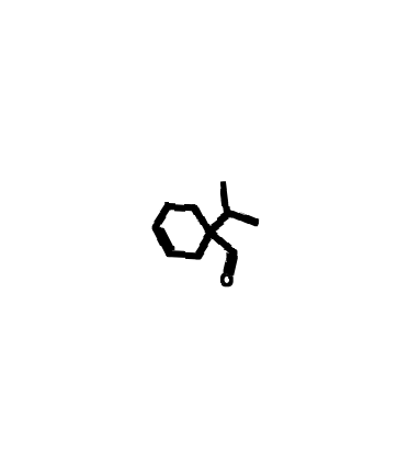 CC(C)C1(C=O)CC=CCC1